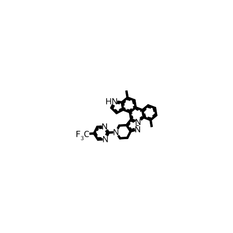 Cc1cc2c3cccc(C)c3n3nc4c(c3c2c2cc[nH]c12)CN(c1ncc(C(F)(F)F)cn1)CC4